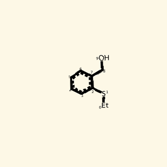 CCSc1ccccc1CO